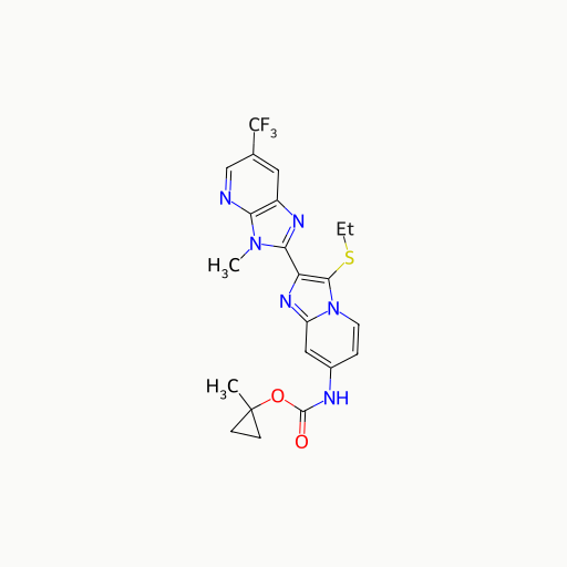 CCSc1c(-c2nc3cc(C(F)(F)F)cnc3n2C)nc2cc(NC(=O)OC3(C)CC3)ccn12